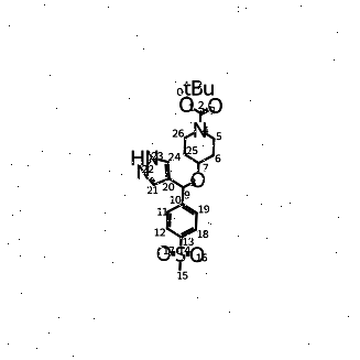 CC(C)(C)OC(=O)N1CCC(OC(c2ccc(S(C)(=O)=O)cc2)c2cn[nH]c2)CC1